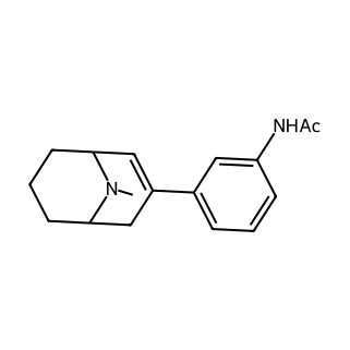 CC(=O)Nc1cccc(C2=CC3CCCC(C2)N3C)c1